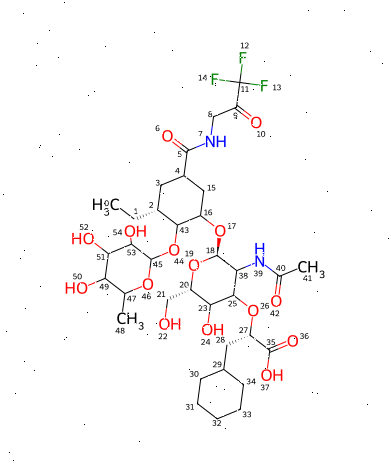 CC[C@@H]1CC(C(=O)NCC(=O)C(F)(F)F)CC(O[C@@H]2O[C@@H](CO)C(O)C(O[C@@H](CC3CCCCC3)C(=O)O)C2NC(C)=O)C1OC1OC(C)C(O)C(O)C1O